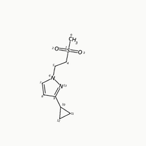 CS(=O)(=O)CCn1ccc(C2CC2)n1